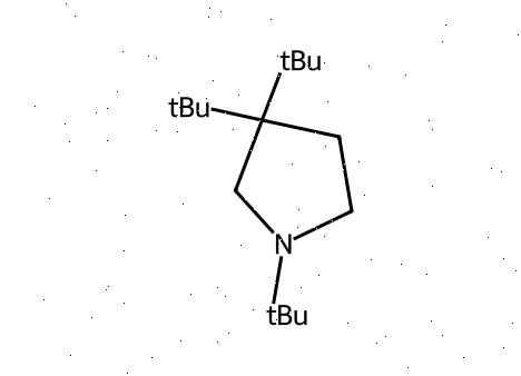 CC(C)(C)N1CCC(C(C)(C)C)(C(C)(C)C)C1